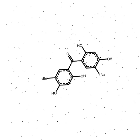 CC(C)(C)c1cc(C(=O)c2cc(C(C)(C)C)c(O)cc2O)c(O)cc1O